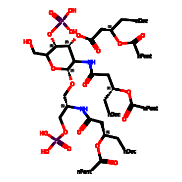 CCCCCCCCCCC[C@H](CC(=O)NC1[C@H](OC[C@@H](COP(=O)(O)O)NC(=O)C[C@@H](CCCCCCCCCCC)OC(=O)CCCCC)OC(CO)[C@H](OP(=O)(O)O)[C@@H]1OC(=O)C[C@@H](CCCCCCCCCCC)OC(=O)CCCCC)OC(=O)CCCCC